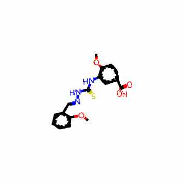 COc1ccccc1/C=N/NC(=S)Nc1cc(C(=O)O)ccc1OC